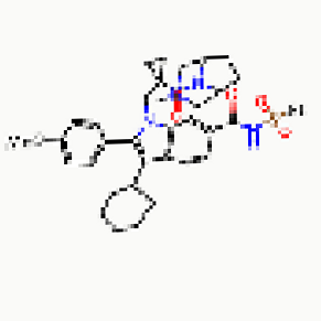 CCS(=O)(=O)NC(=O)c1ccc2c(C3CCCCC3)c(-c3ccc(OC)cc3)n(CC3(C(=O)N4C5CCC4CN(C)C5)CC3)c2c1